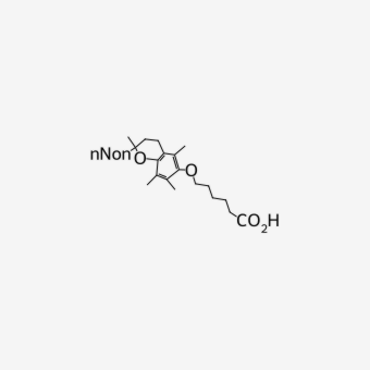 CCCCCCCCCC1(C)CCc2c(C)c(OCCCCCC(=O)O)c(C)c(C)c2O1